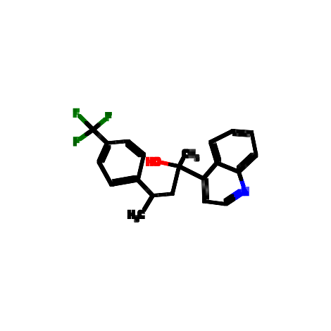 CC(CC(C)(O)c1ccnc2ccccc12)c1ccc(C(F)(F)F)cc1